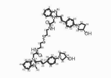 CN1c2ccccc2N(CC(=O)NCCSSCCNC(=O)C[n+]2c(/C=C/c3ccc(N4CC[C@@H](O)C4)cc3)n(C)c3ccccc32)C1/C=C/c1ccc(N2CC[C@@H](O)C2)cc1